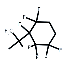 CC(C)(C(F)(F)F)C1(F)C(F)(F)CCC(F)(F)C1(F)F